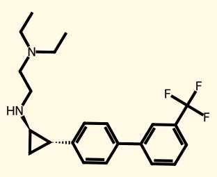 CCN(CC)CCN[C@@H]1C[C@H]1c1ccc(-c2cccc(C(F)(F)F)c2)cc1